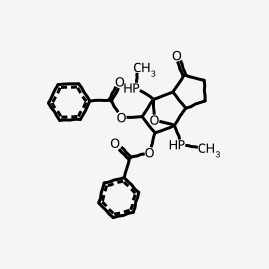 CPC12OC(PC)(C(OC(=O)c3ccccc3)C1OC(=O)c1ccccc1)C1C(=O)CCC12